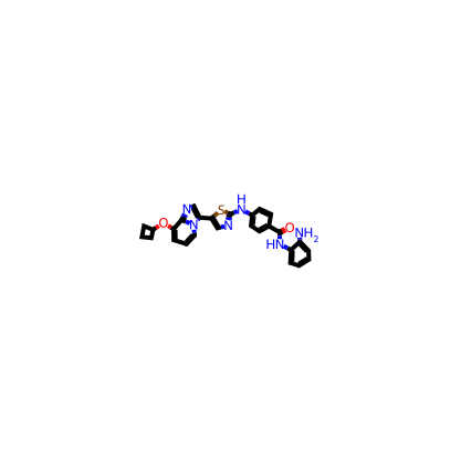 Nc1ccccc1NC(=O)c1ccc(Nc2ncc(-c3cnc4c(OC5CCC5)cccn34)s2)cc1